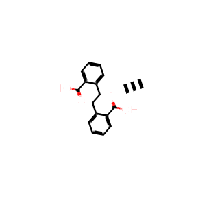 C=C.C=C.C=C.O=C(O)c1ccccc1CCc1ccccc1C(=O)O